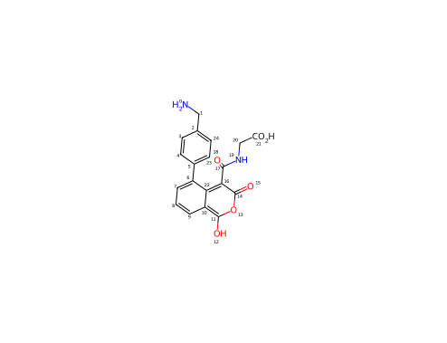 NCc1ccc(-c2cccc3c(O)oc(=O)c(C(=O)NCC(=O)O)c23)cc1